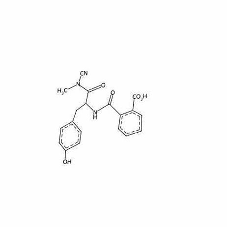 CN(C#N)C(=O)C(Cc1ccc(O)cc1)NC(=O)c1ccccc1C(=O)O